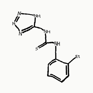 CCc1ccccc1NC(=S)Nc1nnn[nH]1